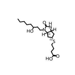 CCCCCC(O)CCN1C(=O)N[C@@H]2C[C@H](SCCCC(=O)O)C[C@@H]21